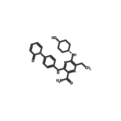 CCc1nc(C(N)=O)c(Nc2ccc(-n3ccccc3=O)cc2)nc1N[C@H]1CC[C@H](O)CC1